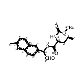 C=CCC(NC(=O)OC(C)(C)C)C(=O)OC(C=O)c1ccc2nc(C)ccc2c1